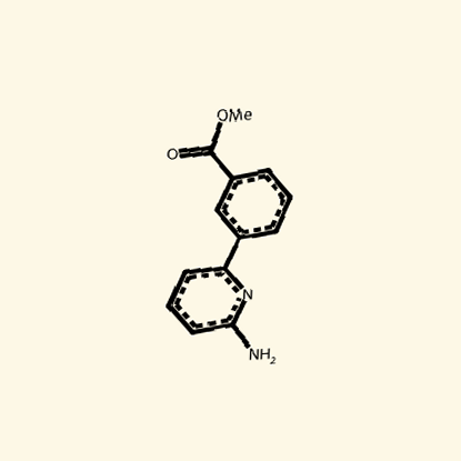 COC(=O)c1cccc(-c2cccc(N)n2)c1